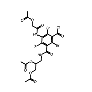 CC(=O)OCC(=O)Nc1c(Br)c(C(=O)Cl)c(Br)c(C(=O)NCC(COC(C)=O)OC(C)=O)c1Br